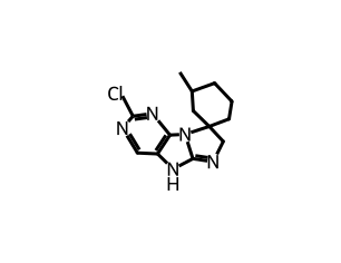 CC1CCCC2(CN=C3Nc4cnc(Cl)nc4N32)C1